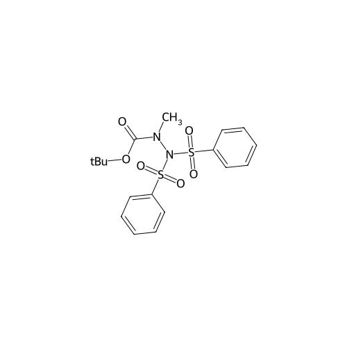 CN(C(=O)OC(C)(C)C)N(S(=O)(=O)c1ccccc1)S(=O)(=O)c1ccccc1